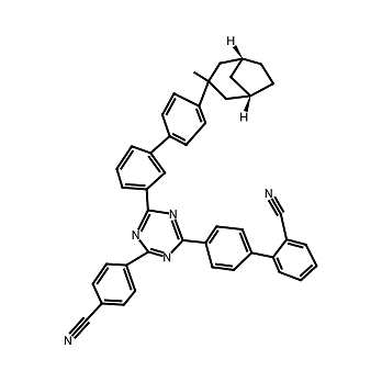 CC1(c2ccc(-c3cccc(-c4nc(-c5ccc(C#N)cc5)nc(-c5ccc(-c6ccccc6C#N)cc5)n4)c3)cc2)C[C@@H]2CC[C@@H](C2)C1